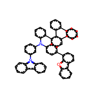 c1ccc(-c2ccccc2-c2c(-c3ccccc3)cccc2-c2ccccc2N(c2ccc(-c3cccc4c3oc3ccccc34)cc2)c2cccc(-n3c4ccccc4c4ccccc43)c2)cc1